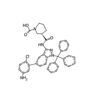 Nc1ccc(Cl)c(-c2ccc3c(c2)c(NC(=O)[C@@H]2CCCN(C(=O)O)C2)nn3C(c2ccccc2)(c2ccccc2)c2ccccc2)c1